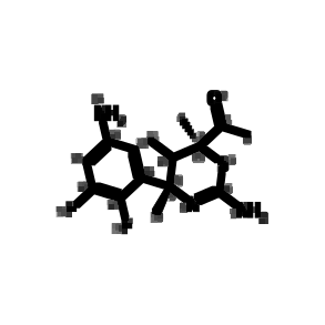 CC(=O)[C@@]1(C)SC(N)=N[C@](C)(c2cc(N)cc(F)c2F)C1C